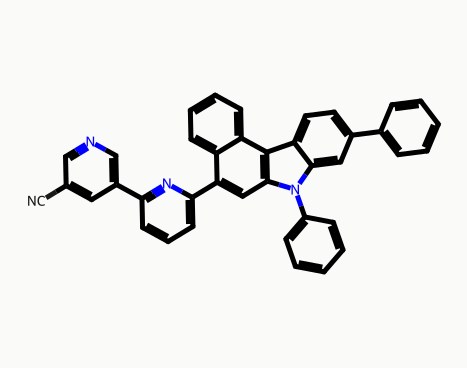 N#Cc1cncc(-c2cccc(-c3cc4c(c5ccccc35)c3ccc(-c5ccccc5)cc3n4-c3ccccc3)n2)c1